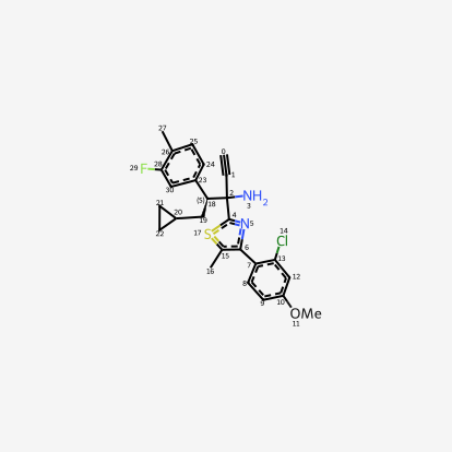 C#CC(N)(c1nc(-c2ccc(OC)cc2Cl)c(C)s1)[C@@H](CC1CC1)c1ccc(C)c(F)c1